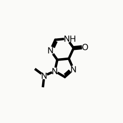 CN(C)N1C=NC2C(=O)NC=NC21